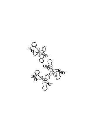 CC[Si](CC)(OCc1ccccc1[N+](=O)[O-])OCc1ccccc1[N+](=O)[O-].O=[N+]([O-])c1ccccc1CO[Si](CCCl)(OCc1ccccc1[N+](=O)[O-])c1ccccc1.O=[N+]([O-])c1ccccc1CO[Si](OCc1ccccc1[N+](=O)[O-])(c1ccccc1)c1ccccc1